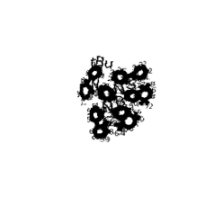 CC(C)(C)c1ccc2c(c1)C1(C)CCCCC1(C)N2c1cc2c3c(c1)N(c1cccc4c1sc1ccccc14)c1cc4c(cc1B3c1cc3c(cc1N2c1cccc2c1sc1ccccc12)C(C)(C)CCC3(C)C)C(C)(C)CCC4(C)C